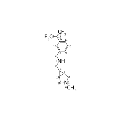 CN1CC2C(CNCc3cccc(C(C(F)(F)F)C(F)(F)F)c3)C2C1